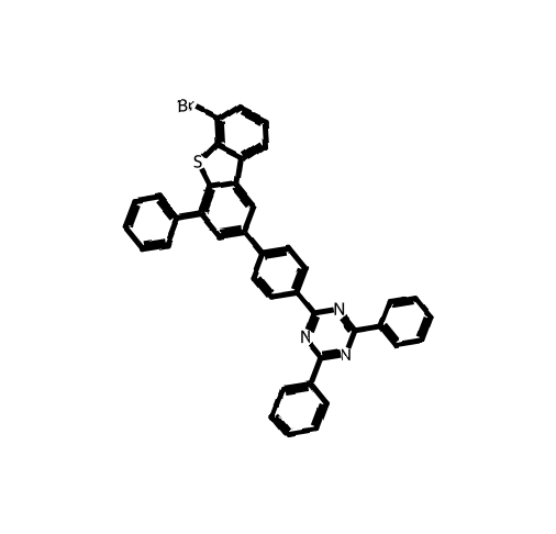 Brc1cccc2c1sc1c(-c3ccccc3)cc(-c3ccc(-c4nc(-c5ccccc5)nc(-c5ccccc5)n4)cc3)cc12